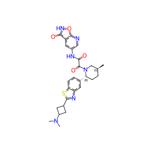 C[C@H]1CC[C@H](c2ccc3sc(C4CC(N(C)C)C4)nc3c2)N(C(=O)C(=O)Nc2cnc3o[nH]c(=O)c3c2)C1